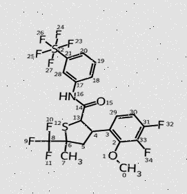 COc1c(C2CC(C)(C(F)(F)F)SC2C(=O)Nc2cccc(S(F)(F)(F)(F)F)c2)ccc(F)c1F